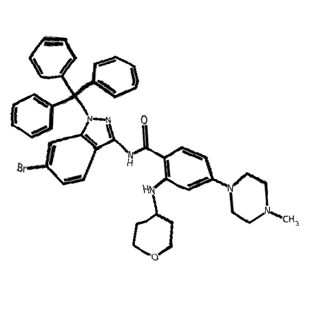 CN1CCN(c2ccc(C(=O)Nc3nn(C(c4ccccc4)(c4ccccc4)c4ccccc4)c4cc(Br)ccc34)c(NC3CCOCC3)c2)CC1